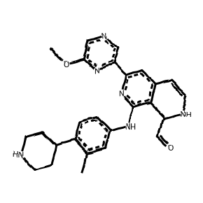 COc1cncc(-c2cc3c(c(Nc4ccc(C5CCNCC5)c(C)c4)n2)C(C=O)NC=C3)n1